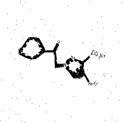 CCOC(=O)c1nn(CC(=O)c2ccccc2)cc1N